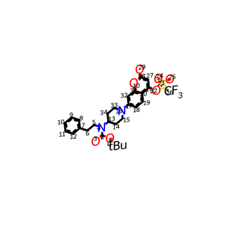 CC(C)(C)OC(=O)N(CCc1ccccc1)C1CCN(c2ccc3c(OS(=O)(=O)C(F)(F)F)cc(=O)oc3c2)CC1